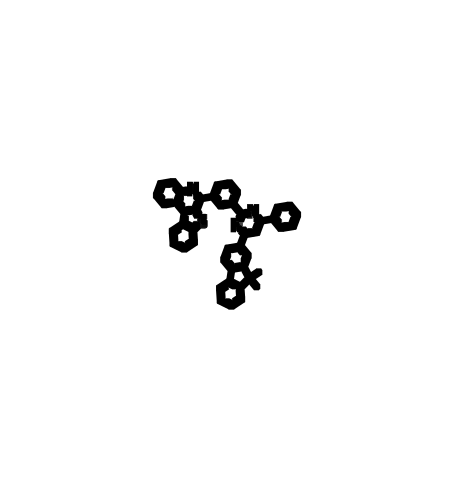 CC1(C)c2ccccc2-c2ccc(-c3cc(-c4ccccc4)nc(-c4cccc(-c5nc6ccccc6c6c5sc5ccccc56)c4)n3)cc21